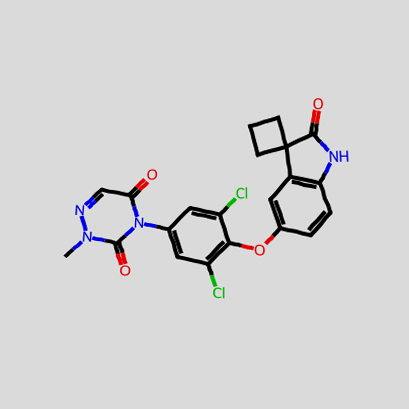 Cn1ncc(=O)n(-c2cc(Cl)c(Oc3ccc4c(c3)C3(CCC3)C(=O)N4)c(Cl)c2)c1=O